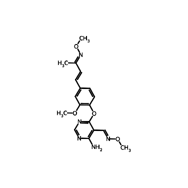 CON=Cc1c(N)ncnc1Oc1ccc(/C=C/C(C)=N/OC)cc1OC